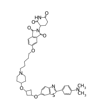 CN(C)c1ccc(-c2nc3ccc(OC4CC(OC5CCN(CCCCCOc6ccc7c(c6)C(=O)N(C6CCC(=O)NC6=O)C7=O)CC5)C4)cc3s2)cc1